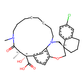 C[C@@H]1C(=O)N(C)CCCCCCCCN2C[C@@]3(CCCc4cc(Cl)ccc43)COc3ccc(cc32)[C@@]1(O)C(=O)O